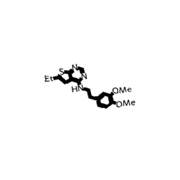 CCc1cc2c(NCCc3ccc(OC)c(OC)c3)ncnc2s1